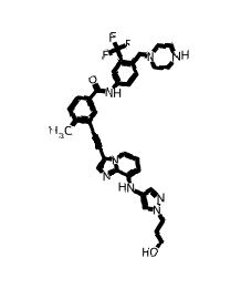 Cc1ccc(C(=O)Nc2ccc(CN3CCNCC3)c(C(F)(F)F)c2)cc1C#Cc1cnc2c(Nc3cnn(CCCO)c3)cccn12